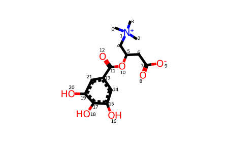 C[N+](C)(C)CC(CC(=O)[O-])OC(=O)c1cc(O)c(O)c(O)c1